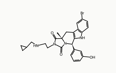 C[C@@]12Cc3c([nH]c4ccc(Br)cc34)[C@@H](c3cccc(O)c3)N1C(=O)N(CCNCC1CC1)C2=O